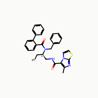 Cc1nc2sccn2c1C(=O)NC[C@@H](CC(C)C)N(Cc1ccccc1)C(=O)c1ccccc1-c1ccccc1